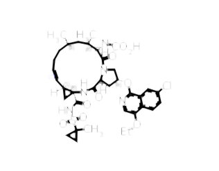 CCOc1cnc(O[C@@H]2C[C@H]3C(=O)N[C@]4(C(=O)NS(=O)(=O)C5(C)CC5)C[C@H]4/C=C\CC[C@@H](C)C[C@@H](C)[C@H](NC(=O)O)C(=O)N3C2)c2cc(Cl)ccc12